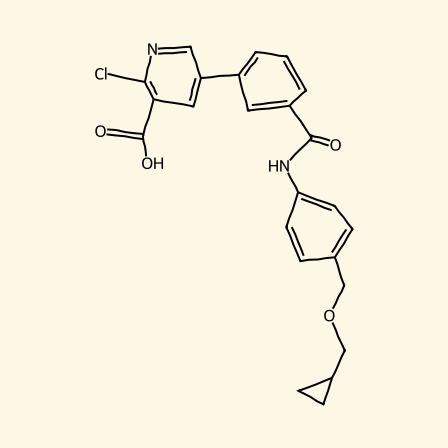 O=C(Nc1ccc(COCC2CC2)cc1)c1cccc(-c2cnc(Cl)c(C(=O)O)c2)c1